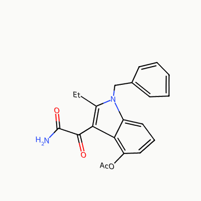 CCc1c(C(=O)C(N)=O)c2c(OC(C)=O)cccc2n1Cc1ccccc1